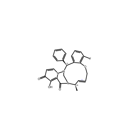 C[C@@H]1/C=C/COc2c(F)cccc2[C@H](c2ccccc2)N2CN1C(=O)c1c(O)c(=O)ccn12